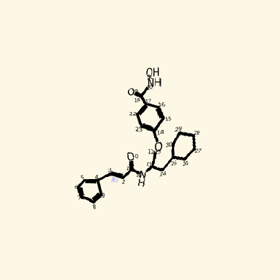 O=C(/C=C/c1ccccc1)NC(COc1ccc(C(=O)NO)cc1)CC1CCCCC1